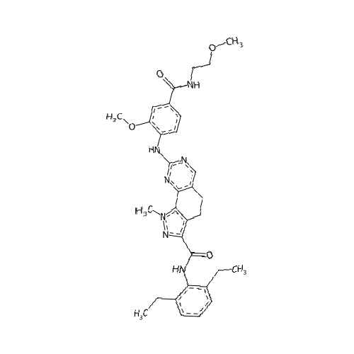 CCc1cccc(CC)c1NC(=O)c1nn(C)c2c1CCc1cnc(Nc3ccc(C(=O)NCCOC)cc3OC)nc1-2